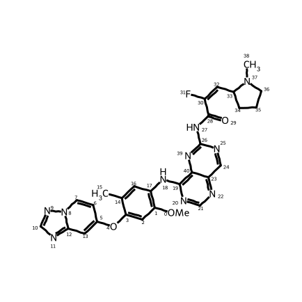 COc1cc(Oc2ccn3ncnc3c2)c(C)cc1Nc1ncnc2cnc(NC(=O)/C(F)=C\C3CCCN3C)nc12